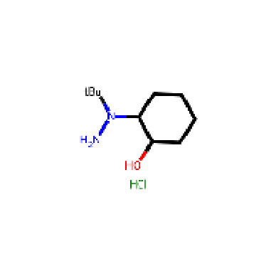 CC(C)(C)N(N)C1CCCCC1O.Cl